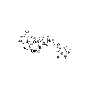 COc1ccc2ncc(Cl)c(CCCC3(C(=O)NO)CCN(CCSc4cc(F)c(F)c(F)c4)CC3)c2c1